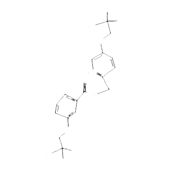 C[C@H](NC(=O)c1cccc(OCC(F)(F)F)c1)c1ccc(OCC(F)(F)F)cn1